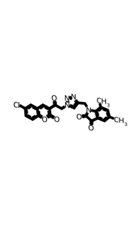 Cc1cc(C)c2c(c1)C(=O)C(=O)N2Cc1cn(CC(=O)c2cc3cc(Cl)ccc3oc2=O)nn1